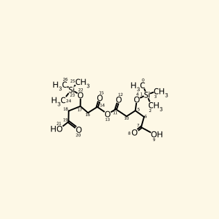 C[Si](C)(C)OC(CC(=O)O)CC(=O)OC(=O)CC(CC(=O)O)O[Si](C)(C)C